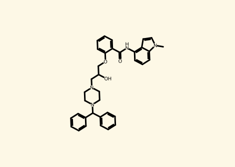 Cn1ccc2c(NC(=O)c3ccccc3OCC(O)CN3CCN(C(c4ccccc4)c4ccccc4)CC3)cccc21